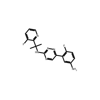 CC(C)(Nc1ncc(-c2cc(N)ccc2F)nn1)c1ncccc1F